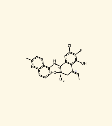 C/C=C1\C[C@@](O)(C(F)(F)F)[C@@H](Nc2cccc3nc(C)ccc23)c2cc(Cl)c(F)c(O)c21